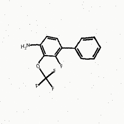 Nc1ccc(-c2ccccc2)c(F)c1OC(F)(F)F